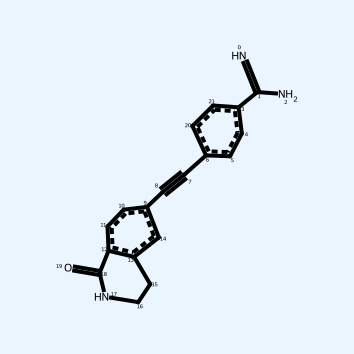 N=C(N)c1ccc(C#Cc2ccc3c(c2)CCNC3=O)cc1